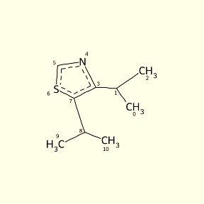 CC(C)c1ncsc1C(C)C